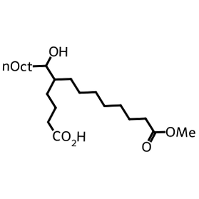 CCCCCCCCC(O)C(CCCCCCCC(=O)OC)CCCC(=O)O